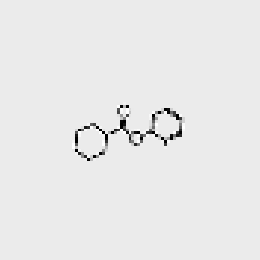 O=C(Oc1[c]cccc1)C1CCCCC1